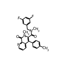 Cc1ccc(-c2c(C(=O)N(C)Cc3cc(F)cc(F)c3)n(C)c(=O)c3ncccc23)cc1